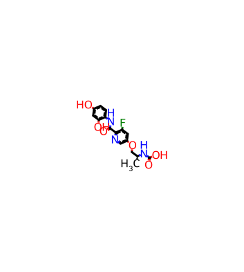 C[C@@H](COc1cnc(C(=O)Nc2ccc(O)cc2O)c(F)c1)NC(=O)O